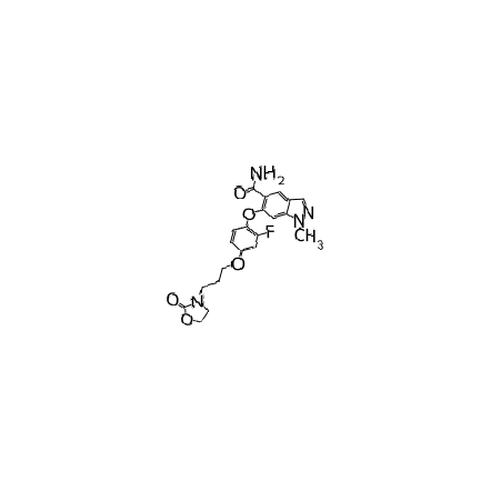 Cn1ncc2cc(C(N)=O)c(Oc3ccc(OCCCN4CCOC4=O)cc3F)cc21